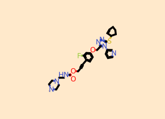 CN1CCN(CCNC(=O)OCC#Cc2ccc(OCc3nnc(SC4C=CCCC4)n3-c3cccnc3)cc2F)CC1